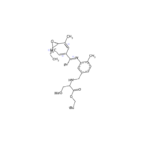 C/C=C(\C=C(\C)C1O/C1=C/C)C(=N/c1cc(CNC(COC)C(=O)OCC(C)(C)C)ccc1C)/C(C)C